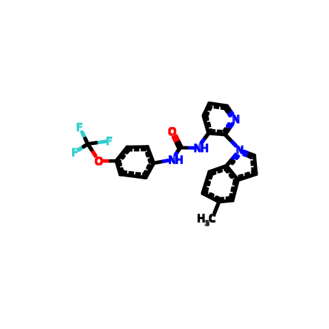 Cc1ccc2c(ccn2-c2ncccc2NC(=O)Nc2ccc(OC(F)(F)F)cc2)c1